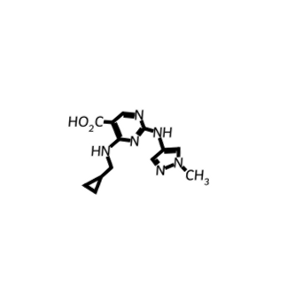 Cn1cc(Nc2ncc(C(=O)O)c(NCC3CC3)n2)cn1